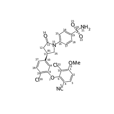 COc1ccc(C#N)c(Oc2cc([C@H]3CC(=O)N(c4ccc(S(N)(=O)=O)cc4)C3)ccc2Cl)c1Cl